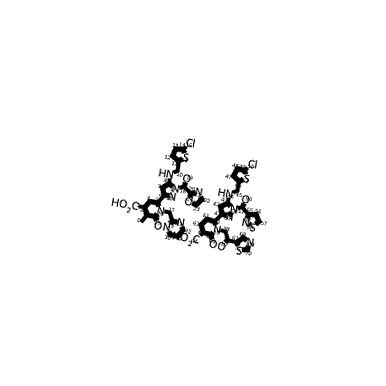 Cc1c(C(=O)O)cc(-c2cc(NCc3ccc(Cl)s3)n(C(=O)c3ncco3)n2)n(Cc2ncccn2)c1=O.O=C(Cn1c(-c2cc(NCc3ccc(Cl)s3)n(C(=O)c3ccsn3)n2)ccc(C(=O)O)c1=O)c1cncs1